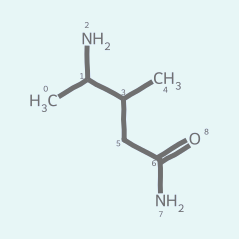 CC(N)C(C)CC(N)=O